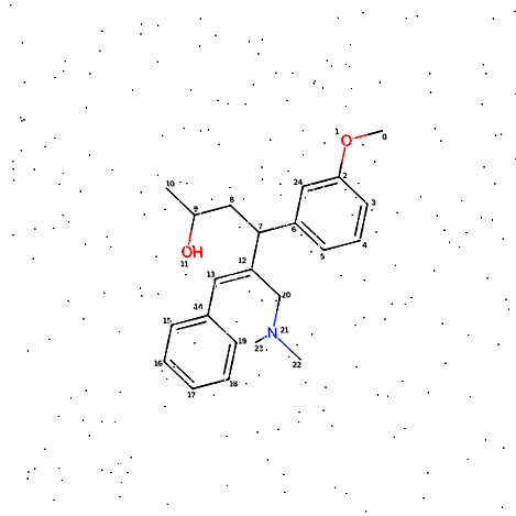 COc1cccc(C(CC(C)O)C(=Cc2ccccc2)CN(C)C)c1